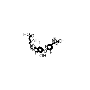 Cl.Cn1nnc(-c2cnc(Oc3ccc(-c4nnn(C[C@@H](N)CC(=O)O)n4)c(F)c3)c(F)c2)n1